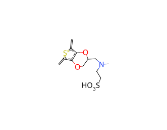 C=c1sc(=C)c2c1OCC(CN(C)CCS(=O)(=O)O)O2